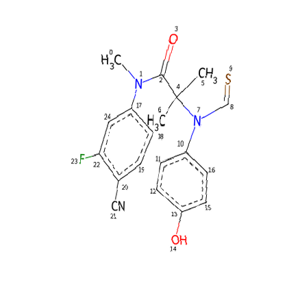 CN(C(=O)C(C)(C)N(C=S)c1ccc(O)cc1)c1ccc(C#N)c(F)c1